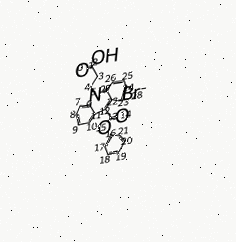 O=C(O)CC[n+]1c2ccccc2c(C(=O)Oc2ccccc2)c2ccccc21.[Br-]